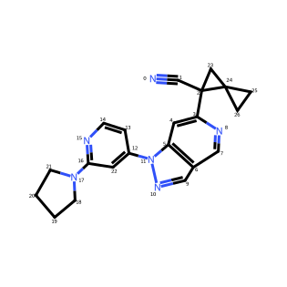 N#CC1(c2cc3c(cn2)cnn3-c2ccnc(N3CCCC3)c2)CC12CC2